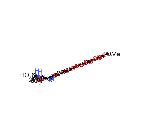 COCCOCCOCCOCCOCCOCCOCCOCCOCCOCCOCCOCCOCc1cn(CCCC[C@H](NC(=O)N[C@@H](CCC(=O)O)C(=O)O)OC=O)nn1